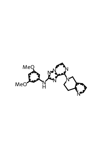 COc1cc(Nc2nc3c(N4CCc5ncccc5C4)nccn3n2)cc(OC)c1